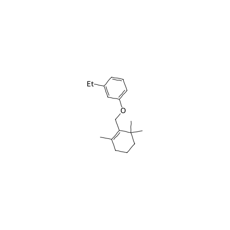 CCc1cccc(OCC2=C(C)CCCC2(C)C)c1